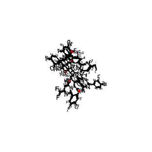 CCc1cc(NC([C@@H](O)CO)[C@](O)(C(Nc2cc(CC)nc(-c3ccc(F)c(Cl)c3)n2)[C@@H](O)CO)[C@@](O)(C(Nc2cc(C)nc(-c3ccc(Br)c(F)c3)n2)C(Nc2cc(C(F)F)nc(-c3cc(F)c(Cl)cc3F)n2)C(O)CO)C(Nc2nc(-c3cc(F)c(Br)cc3F)nc(C)c2F)[C@@H](O)CO)nc(-c2cc(F)c(F)c(F)c2)n1